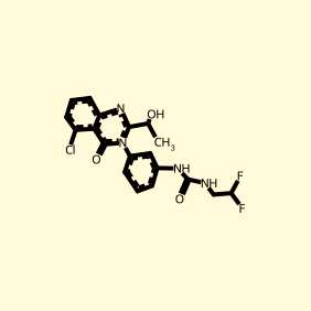 CC(O)c1nc2cccc(Cl)c2c(=O)n1-c1cccc(NC(=O)NCC(F)F)c1